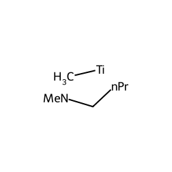 CCCCNC.[CH3][Ti]